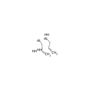 C=C[CH2][Al].C=C[CH2][Al].[HH].[HH].[HH]